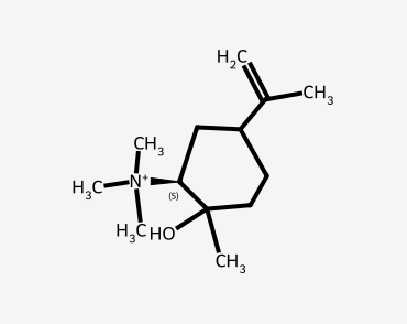 C=C(C)C1CCC(C)(O)[C@@H]([N+](C)(C)C)C1